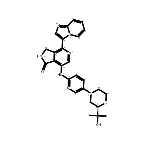 CC(C)(O)[C@H]1CN(c2ccc(Nc3cnc(-c4cnc5ccccn45)c4c3C(=O)NC4)nc2)CCO1